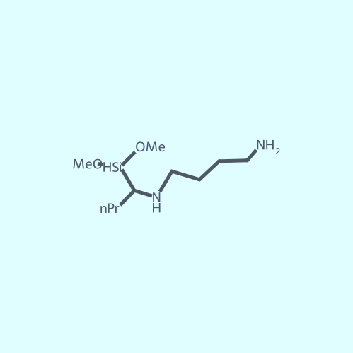 CCCC(NCCCCN)[SiH](OC)OC